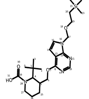 CC(C)(C)C1C(COc2ncnc3c2ccn3COCC[Si](C)(C)C)CCCN1C(=O)O